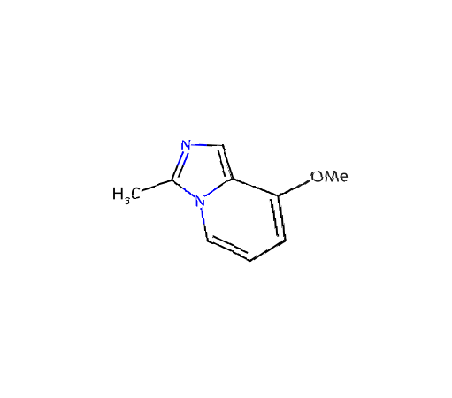 COc1cccn2c(C)ncc12